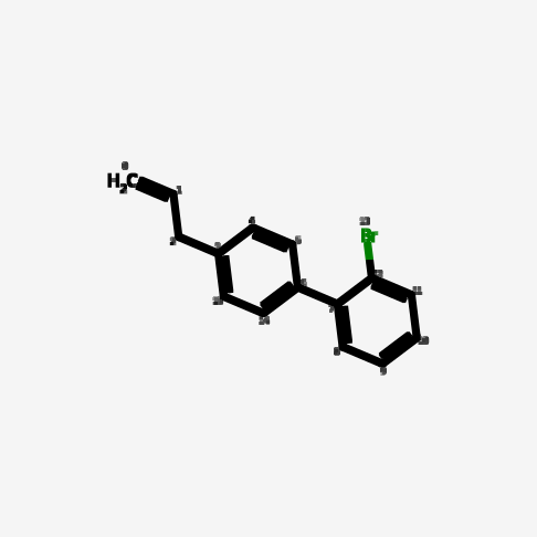 C=CCc1ccc(-c2ccccc2Br)cc1